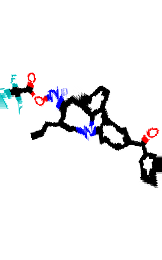 C=CCC1Cn2c3ccc(C(=O)c4ccccc4)cc3c3cccc(c32)/C1=N/OC(=O)C(F)(F)F